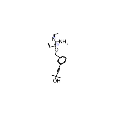 C=C/C(OCc1cccc(C#CC(C)(C)O)c1)=C(N)\N=C/C